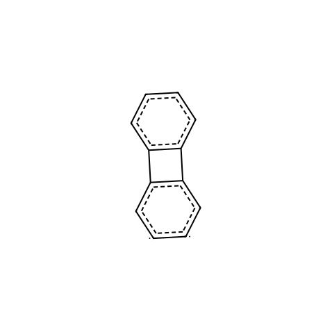 [c]1[c]cc2c(c1)-c1ccccc1-2